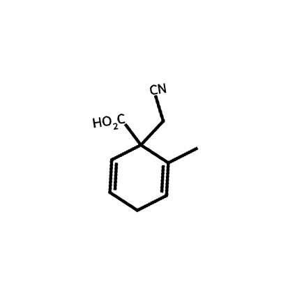 CC1=CCC=CC1(CC#N)C(=O)O